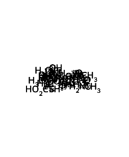 CC(C)C[C@H](NC(=O)[C@@H]1CCCN1C(=O)[C@@H]1CCCN1C(=O)[C@@H](NC(=O)[C@H](C)NC(=O)[C@H](C)N)C(C)C)C(=O)N[C@H](C(=O)N[C@H](C(=O)N[C@@H](CS)C(=O)O)[C@@H](C)O)[C@@H](C)O